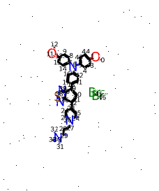 COc1ccc(N(c2ccc(OC)cc2)c2ccc(-c3ccc(-c4cc[n+](CCC[N+](C)(C)C)cc4)c4nsnc34)cc2)cc1.[Br-].[Br-]